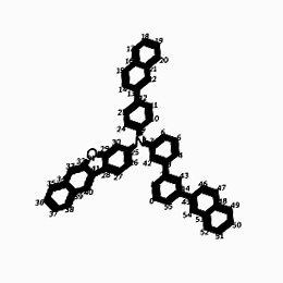 c1cc(-c2cccc(N(c3ccc(-c4ccc5ccccc5c4)cc3)c3ccc4c(c3)oc3cc5ccccc5cc34)c2)cc(-c2ccc3ccccc3c2)c1